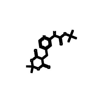 CC(C)(C)OC(=O)Nc1cc(CC2C(=O)OC(C)(C)OC2=O)ccn1